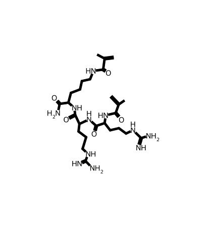 C=C(C)C(=O)NCCCCC(NC(=O)C(CCCNC(=N)N)NC(=O)C(CCCNC(=N)N)NC(=O)C(=C)C)C(N)=O